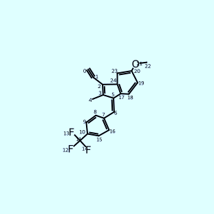 C#CC1=C(C)C(=Cc2ccc(C(F)(F)F)cc2)c2ccc(OC)cc21